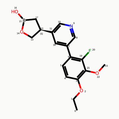 CCOc1ccc(-c2cncc([C@H]3COB(O)C3)c2)c(F)c1OC